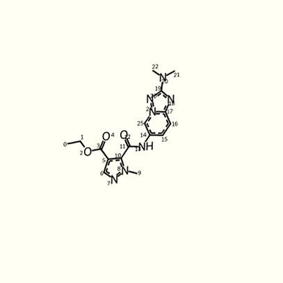 CCOC(=O)c1cnn(C)c1C(=O)Nc1ccc2nc(N(C)C)nn2c1